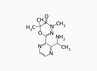 CC(N)c1nccnc1C1=NN(C)C(=O)C(C)(C)O1